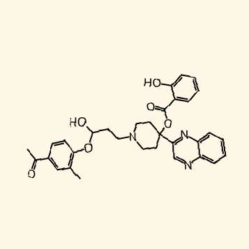 CC(=O)c1ccc(OC(O)CCN2CCC(OC(=O)c3ccccc3O)(c3cnc4ccccc4n3)CC2)c(C)c1